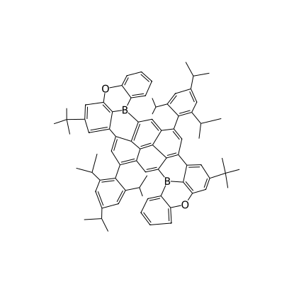 CC(C)c1cc(C(C)C)c(-c2cc3c4c(cc5c(-c6c(C(C)C)cc(C(C)C)cc6C(C)C)cc6c7c(cc2c4c57)B2c4ccccc4Oc4cc(C(C)(C)C)cc-6c42)B2c4ccccc4Oc4cc(C(C)(C)C)cc-3c42)c(C(C)C)c1